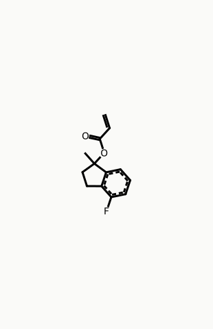 C=CC(=O)OC1(C)CCc2c(F)cccc21